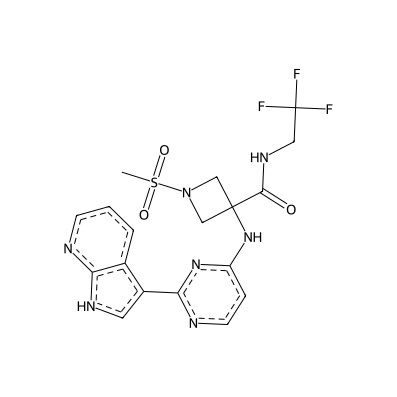 CS(=O)(=O)N1CC(Nc2ccnc(-c3c[nH]c4ncccc34)n2)(C(=O)NCC(F)(F)F)C1